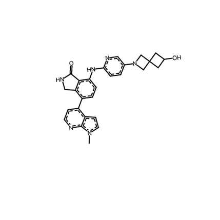 Cn1ccc2c(-c3ccc(Nc4ccc(N5CC6(CC(O)C6)C5)cn4)c4c3CNC4=O)ccnc21